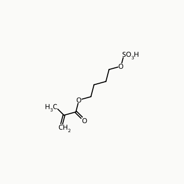 C=C(C)C(=O)OCCCCOS(=O)(=O)O